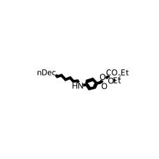 CCCCCCCCCCCCCCCCNc1ccc(C(=O)OC(OCC)C(=O)OCC)cc1